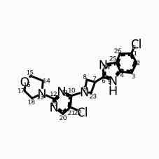 Clc1ccc2[nH]c(C3CN(c4nc(N5CCOCC5)ncc4Cl)C3)nc2c1